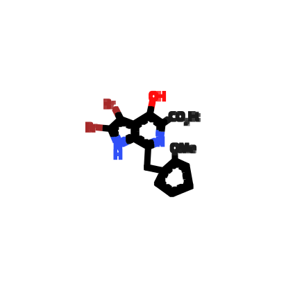 CCOC(=O)c1nc(Cc2ccccc2OC)c2[nH]c(Br)c(Br)c2c1O